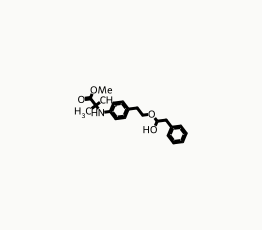 COC(=O)C(C)(C)Nc1ccc(CCOC(O)Cc2ccccc2)cc1